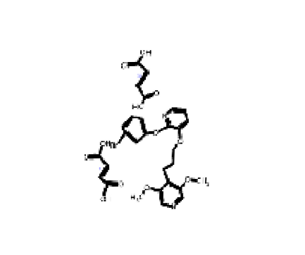 COc1cncc(OC)c1CCCOc1cccnc1Oc1cccc(Br)c1.O=C(O)/C=C/C(=O)O.O=C(O)/C=C/C(=O)O